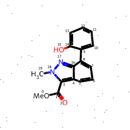 COC(=O)c1c2cccc(-c3ccccc3O)c2nn1C